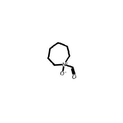 O=C[N+]1([O-])CCCCCC1